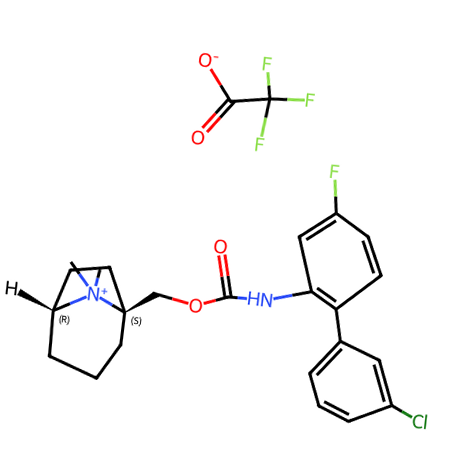 C[N+]1(C)[C@@H]2CCC[C@@]1(COC(=O)Nc1cc(F)ccc1-c1cccc(Cl)c1)CC2.O=C([O-])C(F)(F)F